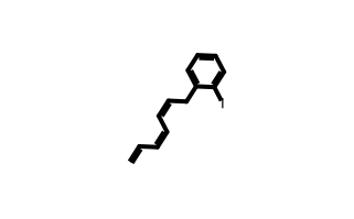 C=C/C=C\C=C/Cc1ccccc1I